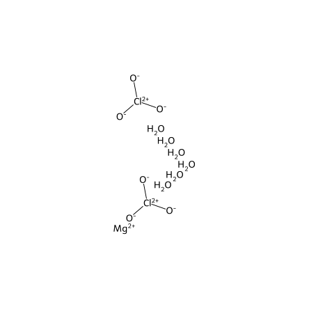 O.O.O.O.O.O.[Mg+2].[O-][Cl+2]([O-])[O-].[O-][Cl+2]([O-])[O-]